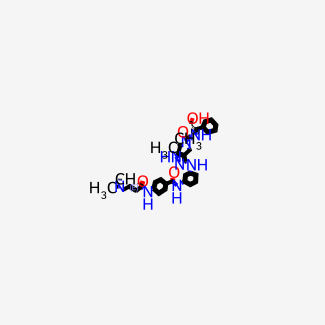 CN(C)C/C=C/C(=O)Nc1ccc(C(=O)Nc2cccc(Nc3n[nH]c4c3CN(C(=O)N[C@H](CO)c3ccccc3)C4(C)C)c2)cc1